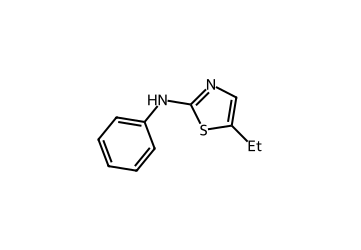 CCc1cnc(Nc2ccccc2)s1